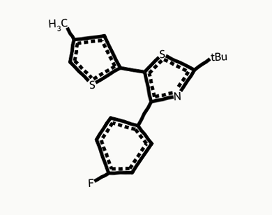 Cc1csc(-c2sc(C(C)(C)C)nc2-c2ccc(F)cc2)c1